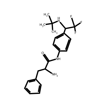 CC(C)(C)NC(c1ccc(NC(=O)C(N)Cc2ccccc2)cc1)C(F)(F)F